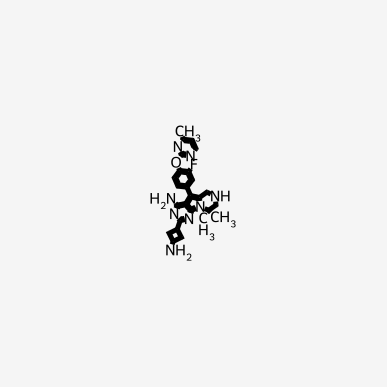 Cc1ccnc(Oc2ccc(-c3c4n(c5nc(C6CC(N)C6)nc(N)c35)C(C)(C)CNC4)cc2F)n1